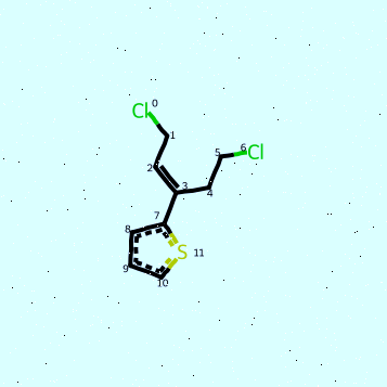 ClCC=C(CCCl)c1cccs1